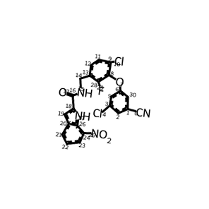 N#Cc1cc(Cl)cc(Oc2c(Cl)ccc(CNC(=O)c3cc4cccc([N+](=O)[O-])c4[nH]3)c2F)c1